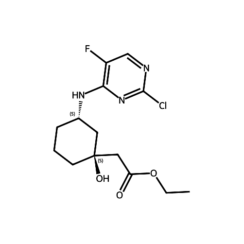 CCOC(=O)C[C@]1(O)CCC[C@H](Nc2nc(Cl)ncc2F)C1